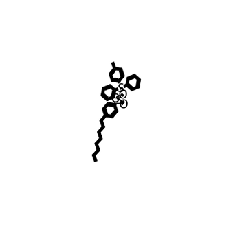 CCCCCCCCc1ccc(S(=O)(=O)OS(c2ccccc2)(c2ccccc2)c2ccc(C)cc2)cc1